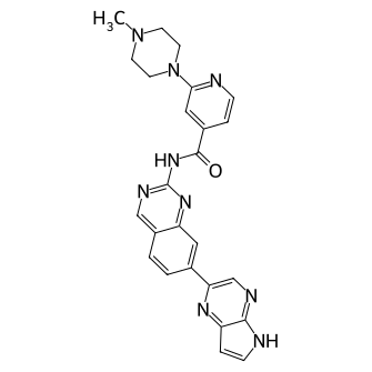 CN1CCN(c2cc(C(=O)Nc3ncc4ccc(-c5cnc6[nH]ccc6n5)cc4n3)ccn2)CC1